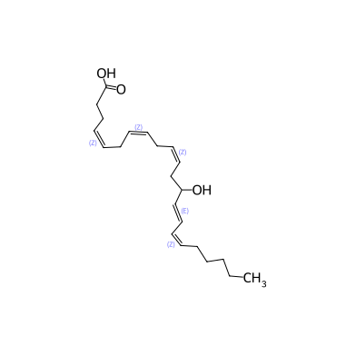 CCCCC/C=C\C=C\C(O)C/C=C\C/C=C\C/C=C\CCC(=O)O